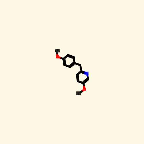 N#COc1ccc(Cc2ccc(OC#N)cn2)cc1